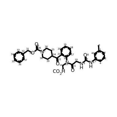 Cc1cccc(NC(=O)NCC(=O)N(CC(=O)O)c2ccccc2C(=O)C2CCN(C(=O)OCc3ccccc3)CC2)c1